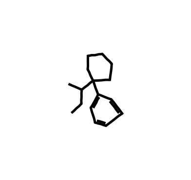 CCC(C)C1(c2ccccc2)CCCCC1